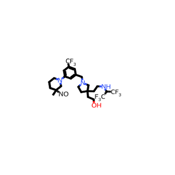 CC1(N=O)CCCN(c2cc(CN3CCC(CCO)(CCNC(C(F)(F)F)C(F)(F)F)C3)cc(C(F)(F)F)c2)C1